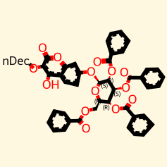 CCCCCCCCCCOc1c(O)c2ccc(O[C@@H]3O[C@H](COC(=O)c4ccccc4)[C@@H](OC(=O)c4ccccc4)[C@H](OC(=O)c4ccccc4)[C@H]3OC(=O)c3ccccc3)cc2oc1=O